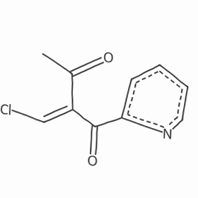 CC(=O)/C(=C\Cl)C(=O)c1ccccn1